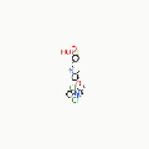 Cc1cc(OCc2c(C(C)C)cnn2-c2c(Cl)cccc2Cl)ccc1N(C)CCc1ccc(F)c(C(=O)O)c1